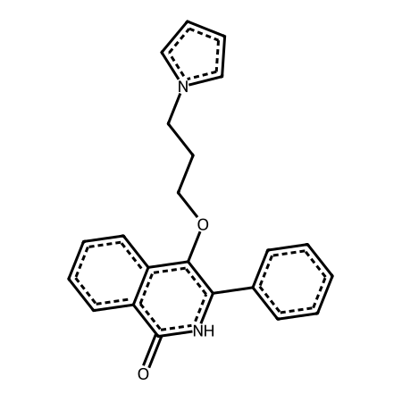 O=c1[nH]c(-c2ccccc2)c(OCCCn2cccc2)c2ccccc12